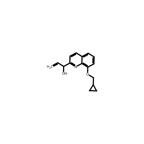 C=CC(O)c1ccc2cccc(OCC3CC3)c2n1